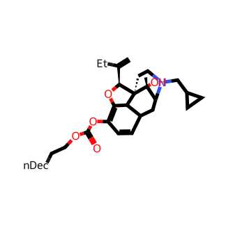 C=C(CC)[C@@H]1OC2=C(OC(=O)OCCCCCCCCCCCC)C=CC3CC4N(CC5CC5)CC[C@@]1(C23)[C@]4(C)O